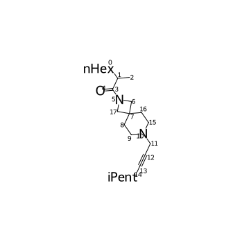 CCCCCCC(C)C(=O)N1CC2(CCN(CC#CC(C)CCC)CC2)C1